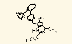 CCCc1cc2c(n1Cc1ccc(-c3ccccc3-c3nnn[nH]3)cc1)NC(C(=O)O)=NC2C